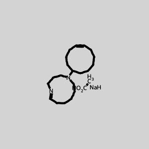 C1=C\CCCC(N2CCCCC/C=N/CCC2)CCCCC/1.CC(=O)O.[NaH]